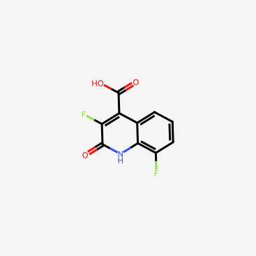 O=C(O)c1c(F)c(=O)[nH]c2c(F)cccc12